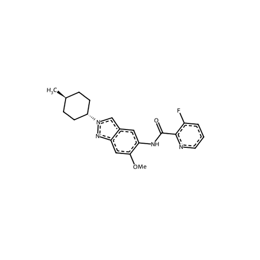 COc1cc2nn([C@H]3CC[C@H](C)CC3)cc2cc1NC(=O)c1ncccc1F